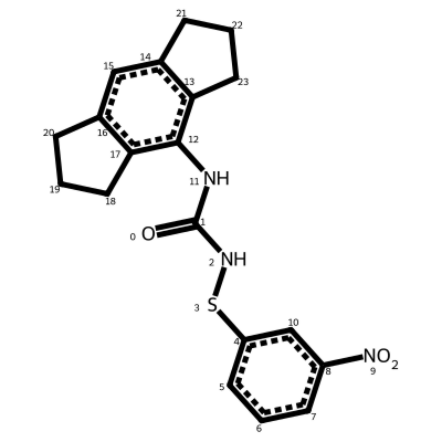 O=C(NSc1cccc([N+](=O)[O-])c1)Nc1c2c(cc3c1CCC3)CCC2